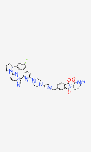 O=C1NCCCC1N1C(=O)c2ccc(CN3CC(N4CCN(c5cccc(-c6cnc7ccc(N8CCC[C@@H]8c8cccc(F)c8)nn67)n5)CC4)C3)cc2C1=O